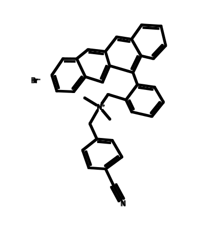 C[N+](C)(Cc1ccc(C#N)cc1)Cc1ccccc1-c1c2ccccc2cc2cc3ccccc3cc12.[Br-]